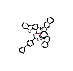 c1ccc(-c2ccc(C3N=C(c4c(-n5c6ccccc6c6cc7ccccc7cc65)ccc5c4oc4ccccc45)N=C(c4cccc5ccccc45)N3)cc2)cc1